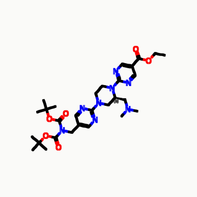 CCOC(=O)c1cnc(N2CCN(c3ncc(CN(C(=O)OC(C)(C)C)C(=O)OC(C)(C)C)cn3)C[C@@H]2CN(C)C)nc1